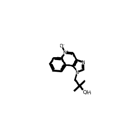 CC(C)(O)Cn1cnc2c[n+]([O-])c3ccccc3c21